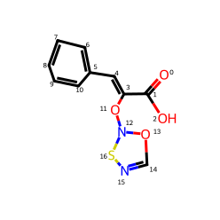 O=C(O)C(=Cc1ccccc1)ON1OC=NS1